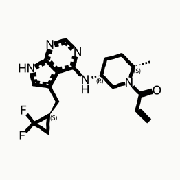 C=CC(=O)N1C[C@H](Nc2ncnc3[nH]cc(C[C@H]4CC4(F)F)c23)CC[C@@H]1C